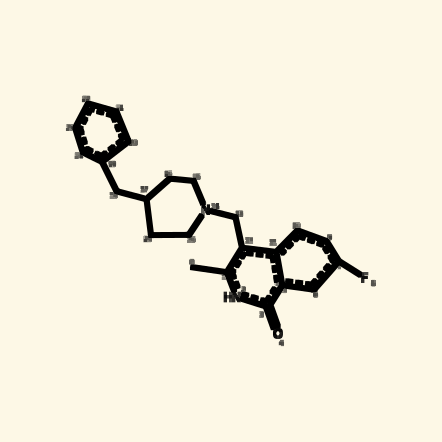 Cc1[nH]c(=O)c2cc(F)ccc2c1CN1CCC(Cc2ccccc2)CC1